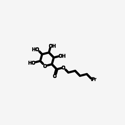 CC(C)CCCCOC(=O)C1OC(O)C(O)C(O)C1O